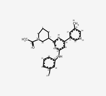 CC(=O)N1CCCC(c2nc(Nc3cccc(F)c3)cc(-c3cncc(C)c3)n2)C1